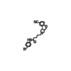 N#Cc1ccc2c(c1)C1CN(CCCCC(=O)Nc3ccc(Br)cc3)CC1CO2